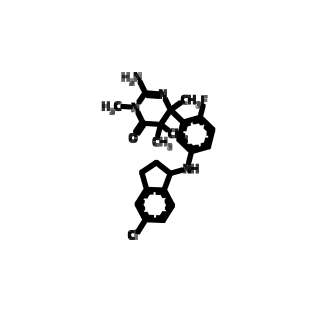 CN1C(=O)C(C)(C)C(C)(c2cc(NC3CCc4cc(Cl)ccc43)ccc2F)N=C1N